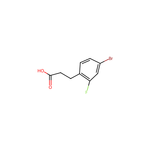 O=C(O)CCc1ccc(Br)cc1F